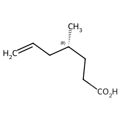 C=CC[C@H](C)CCC(=O)O